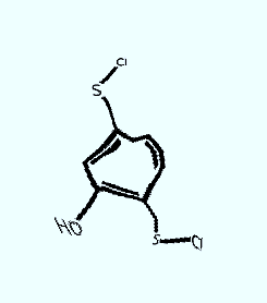 Oc1cc(SCl)ccc1SCl